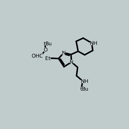 CC(C)(C)OC=O.CCc1cn(CCNC(C)(C)C)c(C2CCNCC2)n1